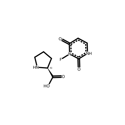 O=C(O)[C@@H]1CCCN1.O=c1cc[nH]c(=O)n1F